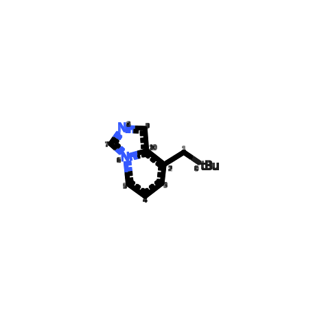 CC(C)(C)Cc1cccn2cncc12